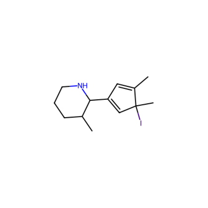 CC1=CC(C2NCCCC2C)=CC1(C)I